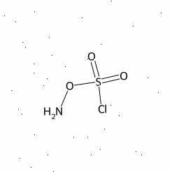 NOS(=O)(=O)Cl